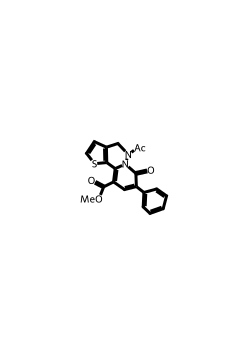 COC(=O)c1cc(-c2ccccc2)c(=O)n2c1-c1sccc1CN2C(C)=O